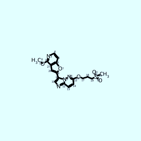 COc1nccc2oc(-c3cnc4ccc(OCCCS(C)(=O)=O)nn34)cc12